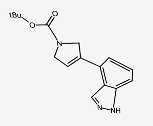 CC(C)(C)OC(=O)N1CC=C(c2cccc3[nH]ncc23)C1